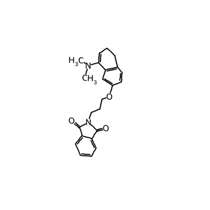 CN(C)C1=CCCc2ccc(OCCCN3C(=O)c4ccccc4C3=O)cc21